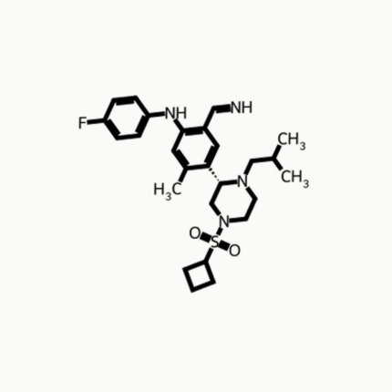 Cc1cc(Nc2ccc(F)cc2)c(C=N)cc1[C@H]1CN(S(=O)(=O)C2CCC2)CCN1CC(C)C